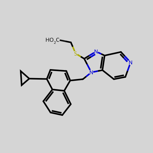 O=C(O)CSc1nc2cnccc2n1Cc1ccc(C2CC2)c2ccccc12